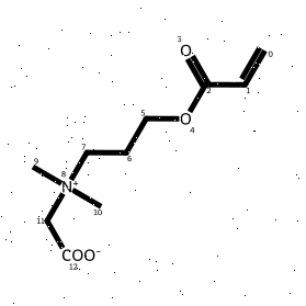 C=CC(=O)OCCC[N+](C)(C)CC(=O)[O-]